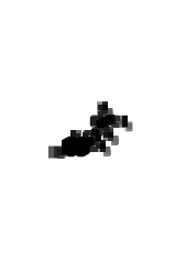 CCC(C)(C)C(=O)OCOC(C)(C)c1ccc2cc(S)ccc2c1